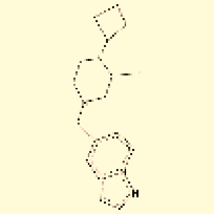 CC1CN(Cc2ccn3nccc3c2)CCN1C1CCC1